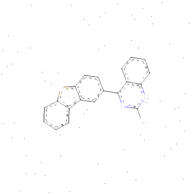 CC(C)c1nc(-c2ccc3sc4ccccc4c3c2)c2ccccc2n1